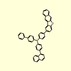 c1ccc(-c2ccc(N(c3ccc(-c4ccc5oc6cc7ccccc7cc6c5c4)cc3)c3ccc(-c4cccc5ccccc45)cc3)cc2)cc1